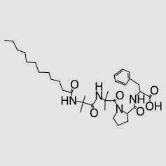 CCCCCCCCCCCC(=O)NC(C)(C)C(=O)NC(C)(C)C(=O)N1CCCC1C(=O)NC(Cc1ccccc1)C(=O)O